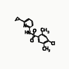 Cc1cc(S(=O)(=O)Nc2cccc(C3CC3)n2)c(C)cc1Cl